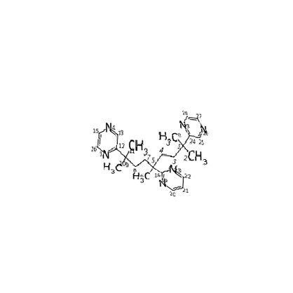 CC(C)(CCC(C)(CCC(C)(C)c1cnccn1)c1ncccn1)c1cnccn1